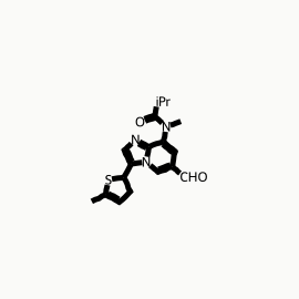 CC1=CCC(c2cnc3c(N(C)C(=O)C(C)C)cc(C=O)cn23)S1